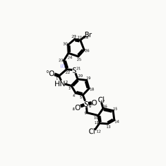 O=C1Nc2cc(S(=O)(=O)Cc3c(Cl)cccc3Cl)ccc2S/C1=C\c1ccc(Br)cc1